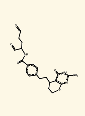 Nc1nc2c(c(=O)[nH]1)C(CCc1ccc(C(=O)NC(C=O)CCC=O)cc1)CCN2